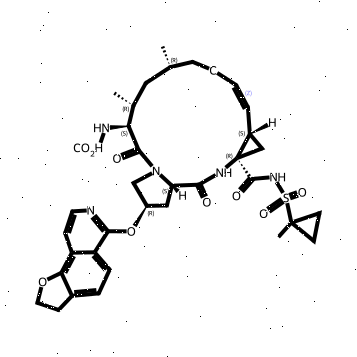 C[C@@H]1CC/C=C\[C@@H]2C[C@@]2(C(=O)NS(=O)(=O)C2(C)CC2)NC(=O)[C@@H]2C[C@@H](Oc3nccc4c5c(ccc34)CCO5)CN2C(=O)[C@@H](NC(=O)O)[C@H](C)C1